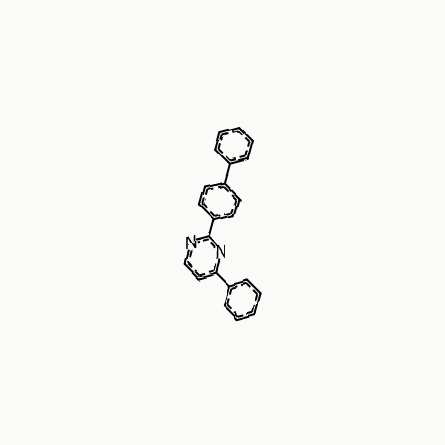 c1ccc(-c2ccc(-c3nccc(-c4ccccc4)n3)cc2)cc1